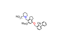 COc1cc(OCc2cccc(-c3ccccc3)c2C#N)c2c(c1CN1CCCCC1C(=O)O)CCC2